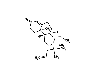 C=CC[C@@](C)(N)[C@@]1(C)CC[C@H]2[C@@H](CCC3=CC(=O)CC[C@@]32C)[C@@H]1CC